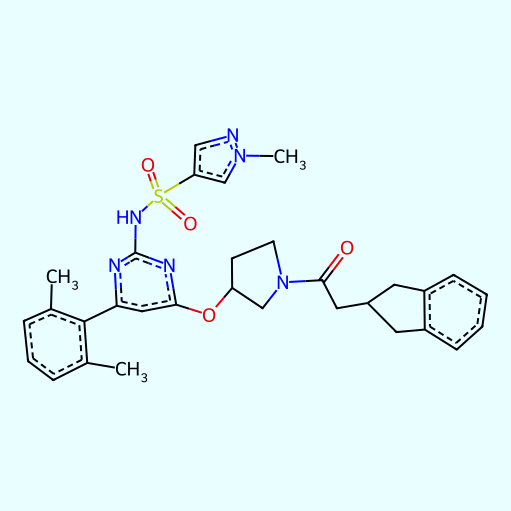 Cc1cccc(C)c1-c1cc(OC2CCN(C(=O)CC3Cc4ccccc4C3)C2)nc(NS(=O)(=O)c2cnn(C)c2)n1